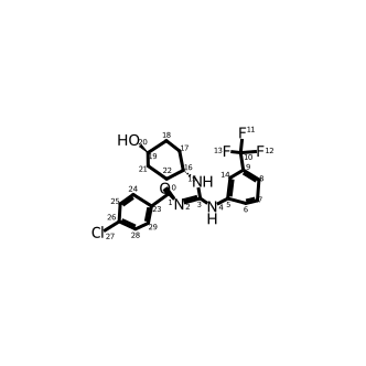 O=C(/N=C(/Nc1cccc(C(F)(F)F)c1)N[C@H]1CC[C@H](O)CC1)c1ccc(Cl)cc1